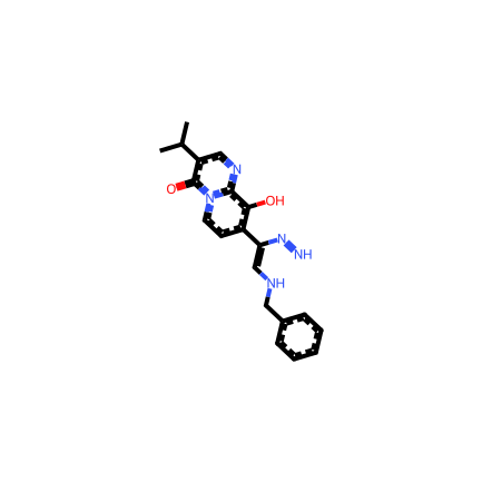 CC(C)c1cnc2c(O)c(/C(=C/NCc3ccccc3)N=N)ccn2c1=O